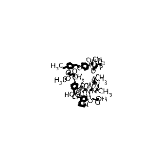 CCc1ccc(COc2ccc(-n3c(=O)cc(C(F)(F)F)n(C)c3=O)cc2)c(OC(C)C(=O)OC)c1.COc1nc(C)nc(NC(=O)NS(=O)(=O)c2cc(I)ccc2C(=O)O)n1.O=C(O)COc1ccc(Cl)c2cccnc12